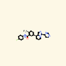 O=C(Nc1ccc(F)cc1)c1cc(-c2cccn3c(-c4ccncn4)ncc23)ccc1C(F)(F)F